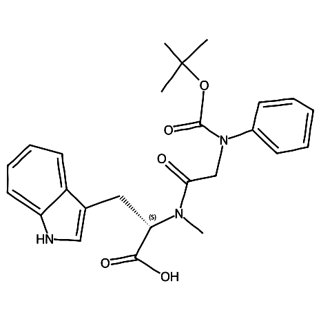 CN(C(=O)CN(C(=O)OC(C)(C)C)c1ccccc1)[C@@H](Cc1c[nH]c2ccccc12)C(=O)O